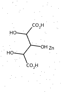 O=C(O)C(O)C(O)C(O)C(=O)O.[Zn]